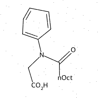 CCCCCCCCC(=O)N(CC(=O)O)c1ccccc1